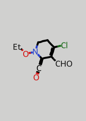 CCON1CCC(Cl)=C(C=O)C1=C=O